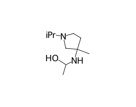 CC(O)NC1(C)CCN(C(C)C)C1